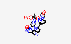 C[C@H](O)C(=O)N1CCC(N2C(=O)N(C)Cc3cnc4ccc(-c5ccc(N6CCOCC6)nc5)nc4c32)CC1